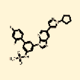 CS(=O)(=O)Nc1cc(-c2ccc(F)cc2F)cc(-n2cnc3cc(-c4cnn(C5CCCC5)c4)cnc32)c1